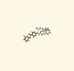 CCCC(C)C1([C@H]2CC[C@H](COc3cc(F)c(C(=O)Oc4cc(F)c(F)c(F)c4)c(F)c3)CC2)CCCCC1